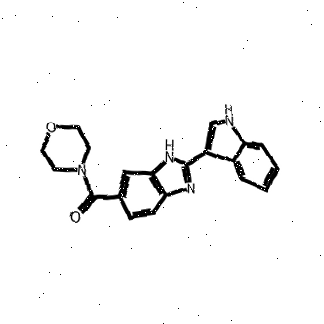 O=C(c1ccc2nc(-c3c[nH]c4ccccc34)[nH]c2c1)N1CCOCC1